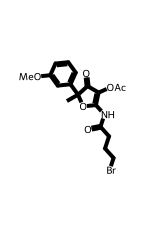 COc1cccc(C2(C)OC(NC(=O)CCCBr)=C(OC(C)=O)C2=O)c1